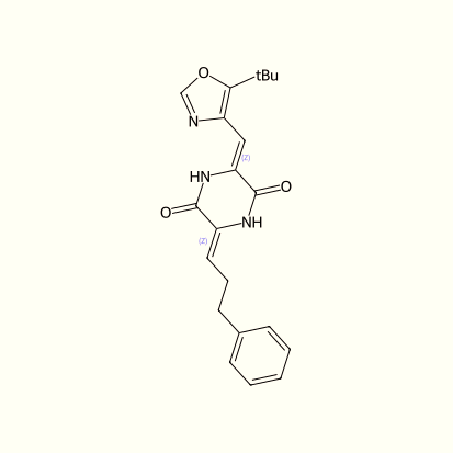 CC(C)(C)c1ocnc1/C=c1\[nH]c(=O)/c(=C/CCc2ccccc2)[nH]c1=O